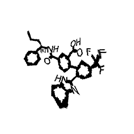 CCC[C@@H](NC(=O)c1ccc(-c2cc(C(F)(F)F)ccc2-c2nc3ccccc3[nH]2)c(C(=O)O)c1)c1ccccc1